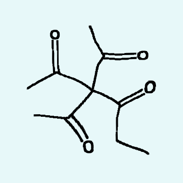 CCC(=O)C(C(C)=O)(C(C)=O)C(C)=O